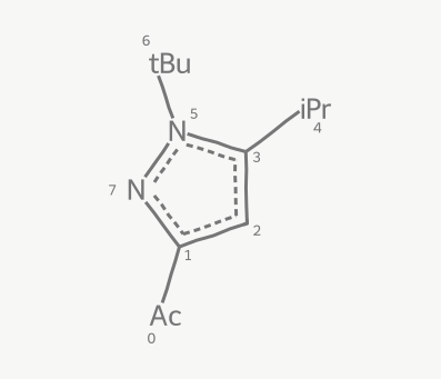 CC(=O)c1cc(C(C)C)n(C(C)(C)C)n1